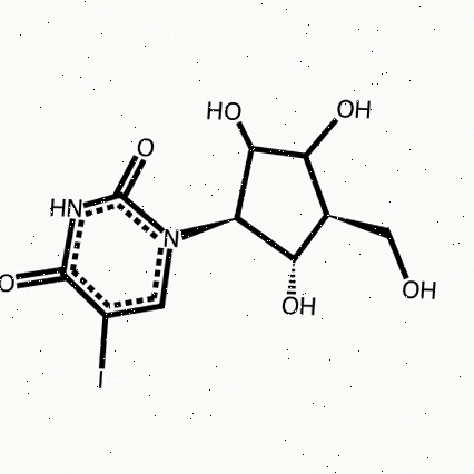 O=c1[nH]c(=O)n([C@H]2C(O)C(O)[C@@H](CO)[C@@H]2O)cc1I